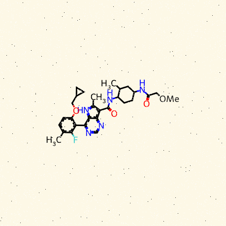 COCC(=O)NC1CCC(NC(=O)c2c(C)[nH]c3c(-c4c(OCC5CC5)ccc(C)c4F)ncnc23)C(C)C1